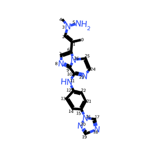 C/C(=C\N(C)N)c1cnc2c(Nc3ccc(-n4cncn4)cc3)nccn12